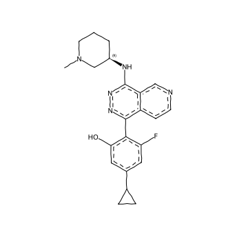 CN1CCC[C@@H](Nc2nnc(-c3c(O)cc(C4CC4)cc3F)c3ccncc23)C1